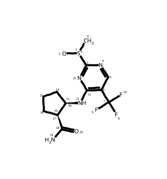 C[S+]([O-])c1ncc(C(F)(F)F)c(N[C@@H]2CCC[C@@H]2C(N)=O)n1